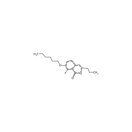 CCCCCCOc1ccc2cc(CCC)oc(=O)c2c1F